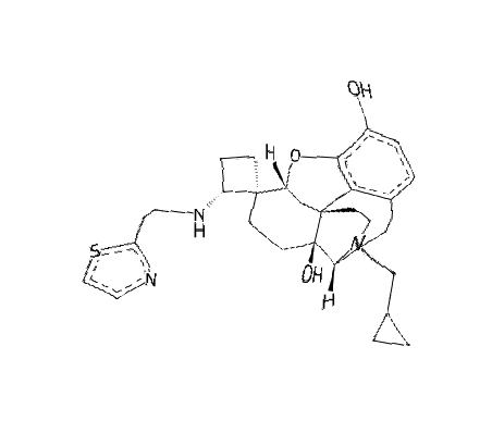 Oc1ccc2c3c1O[C@H]1[C@@]4(CC[C@H]4NCc4nccs4)CC[C@@]4(O)[C@@H](C2)N(CC2CC2)CC[C@]314